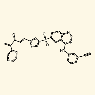 C#Cc1cccc(Nc2ncnc3ccc(S(=O)(=O)n4ccc(/C=C/C(=O)C(=C)c5ccccc5)c4)cc23)c1